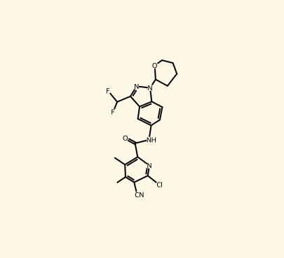 Cc1c(C(=O)Nc2ccc3c(c2)c(C(F)F)nn3C2CCCCO2)nc(Cl)c(C#N)c1C